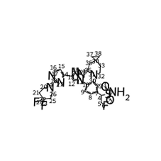 NS(=O)(=O)C(CF)c1ccc(-n2cc(-c3ccnc(N4CCC(F)(F)CC4)n3)nn2)c(N2CCC3(CC2)CC3)c1